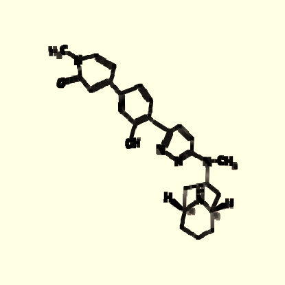 CN(c1ccc(-c2ccc(-c3ccn(C)c(=O)c3)cc2O)nn1)C1C[C@H]2CCC[C@@H](C1)N2